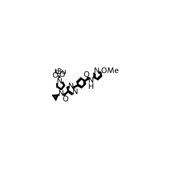 COc1ccc(NC(=O)c2ccc(-c3ncc(C(=O)N(C4CC4)C4CCN(C(=O)OC(C)(C)C)CC4)cn3)cc2)cn1